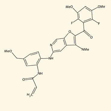 C=CC(=O)Nc1cc(COC)ccc1Nc1cc2c(NC)c(C(=O)c3c(F)c(OC)cc(OC)c3F)oc2cn1